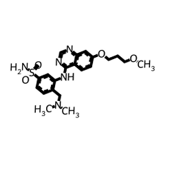 COCCCOc1ccc2c(Nc3cc(S(N)(=O)=O)ccc3CN(C)C)ncnc2c1